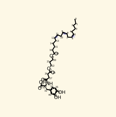 CCCCC/C=C\C/C=C\C/C=C\CCCCC(=O)OCCCOC(=O)CCC(=O)N[C@@H](Cc1ccc(O)c(O)c1)C(=O)O